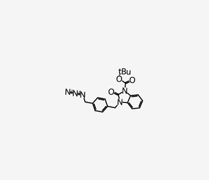 CC(C)(C)OC(=O)n1c(=O)n(Cc2ccc(CN=[N+]=[N-])cc2)c2ccccc21